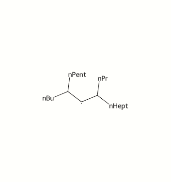 CCCCCCCC([CH]C(CCCC)CCCCC)CCC